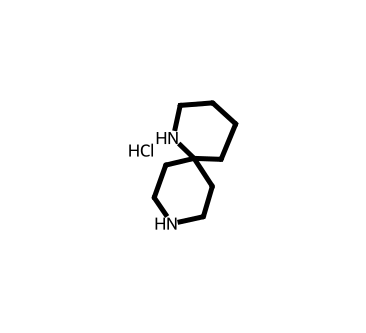 C1CCC2(CCNCC2)NC1.Cl